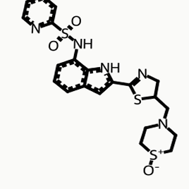 O=S(=O)(Nc1cccc2cc(C3=NCC(CN4CC[S+]([O-])CC4)S3)[nH]c12)c1ccccn1